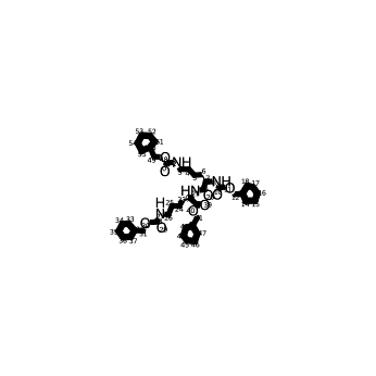 O=C(NCCCC[C@H](NC(=O)OCc1ccccc1)C(=O)N[C@@H](CCCCNC(=O)OCc1ccccc1)C(=O)OCc1ccccc1)OCc1ccccc1